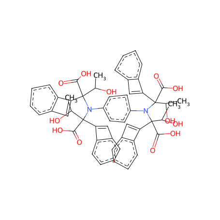 CC(O)C(C(=O)O)(C1=Cc2ccccc21)N(c1ccc(N(C(C(=O)O)(C2=Cc3ccccc32)C(C)O)C(C(=O)O)(C2=Cc3ccccc32)C(C)O)cc1)C(C(=O)O)(C1=Cc2ccccc21)C(C)O